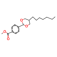 CCCCCCCC1COC(c2ccc(C(=O)OC)cc2)OC1